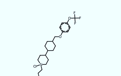 CCC[Si]1(Cl)CCC(C2CCC(COc3ccc(OC(F)(F)F)cc3)CC2)CC1